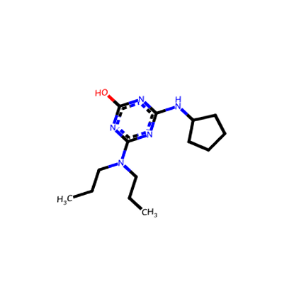 CCCN(CCC)c1nc(O)nc(NC2CCCC2)n1